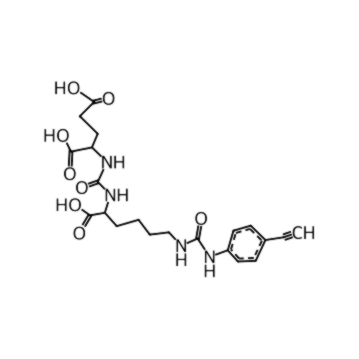 C#Cc1ccc(NC(=O)NCCCCC(NC(=O)NC(CCC(=O)O)C(=O)O)C(=O)O)cc1